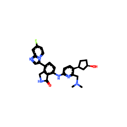 CN(C)Cc1nc(Nc2ccc(-c3cnc4cc(F)ccn34)c3c2C(=O)NC3)ccc1[C@H]1CC[C@@H](O)C1